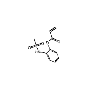 C=CC(=O)Oc1ccccc1NS(C)(=O)=O